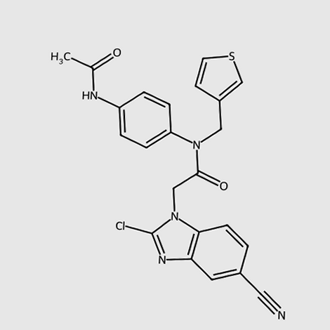 CC(=O)Nc1ccc(N(Cc2ccsc2)C(=O)Cn2c(Cl)nc3cc(C#N)ccc32)cc1